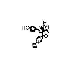 Cc1n[nH]c2nc(-c3ccc(O)cc3)cc(C(=O)N3CCN(C4CCC4)CC3)c12